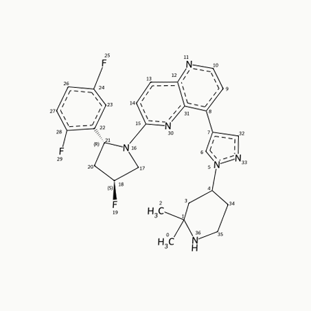 CC1(C)CC(n2cc(-c3ccnc4ccc(N5C[C@@H](F)C[C@@H]5c5cc(F)ccc5F)nc34)cn2)CCN1